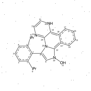 CC(C)c1cccc(C(C)C)c1C1=CN(O)C2=c3ccccc3=C3NC=CN=C3N12